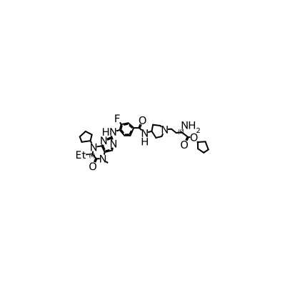 CC[C@@H]1C(=O)N(C)c2cnc(Nc3ccc(C(=O)NC4CCN(CC[C@H](N)C(=O)OC5CCCC5)CC4)cc3F)nc2N1C1CCCC1